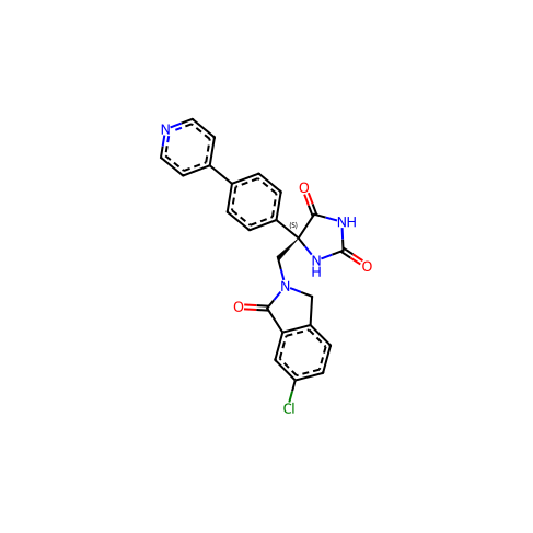 O=C1NC(=O)[C@@](CN2Cc3ccc(Cl)cc3C2=O)(c2ccc(-c3ccncc3)cc2)N1